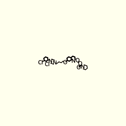 O=C(OCOc1ccc2ccc(OCCCCN3CCN(c4cccc(Cl)c4Cl)CC3)cc2n1)N1CCCCC1